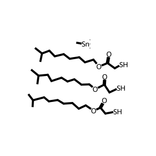 CC(C)CCCCCCCOC(=O)CS.CC(C)CCCCCCCOC(=O)CS.CC(C)CCCCCCCOC(=O)CS.[CH3][Sn]